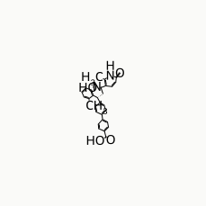 Cc1ccccc1[C@H](C/C(=N\O)c1ccc(=O)[nH]c1C)c1ccc(-c2ccc(C(=O)O)cc2)cc1